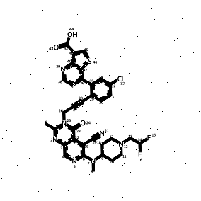 Cc1nc2cnc(N(C)C3CCN(CC(F)F)CC3)c(C#N)c2c(=O)n1CC#Cc1ccc(Cl)cc1-c1ccnc2c(C(=O)O)csc12